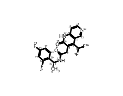 C[C@H](NC(=O)Cc1c(C(F)F)c2cnccc2[nH]c1=O)c1ccc(F)cc1F